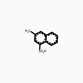 Cc1cc(S(=O)(=O)O)c2ccccc2c1